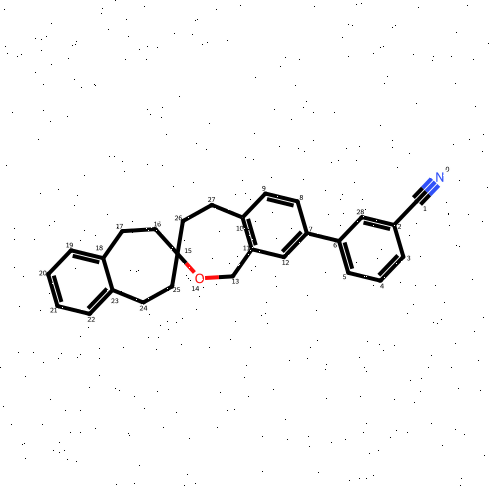 N#Cc1cccc(-c2ccc3c(c2)COC2(CCc4ccccc4CC2)CC3)c1